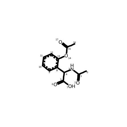 CC(=O)NC(C(=O)O)c1ccccc1OC(C)=O